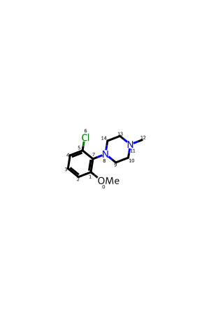 COc1cccc(Cl)c1N1CCN(C)CC1